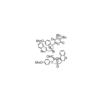 COc1ccc([C@@H](CS(=O)(=O)Cc2cnc3ccccc3c2)N(O)C=O)cc1.COc1ccc([C@@H](CS(=O)(=O)Cc2cnc3ccccc3c2)N(OC(=O)OC(C)(C)C)C(=O)OC(C)(C)C)cc1